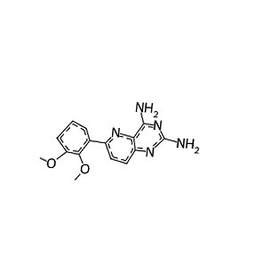 COc1cccc(-c2ccc3nc(N)nc(N)c3n2)c1OC